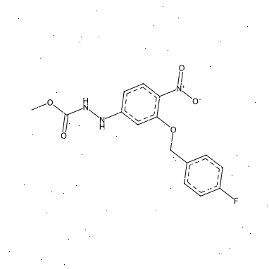 COC(=O)NNc1ccc([N+](=O)[O-])c(OCc2ccc(F)cc2)c1